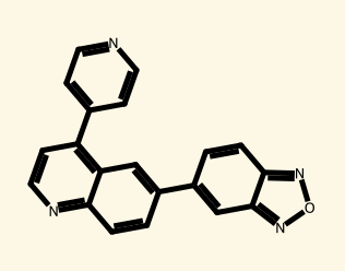 c1cc(-c2ccnc3ccc(-c4ccc5nonc5c4)cc23)ccn1